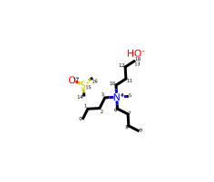 CCCC[N+](C)(CCCC)CCCC.C[S+](C)[O-].[OH-]